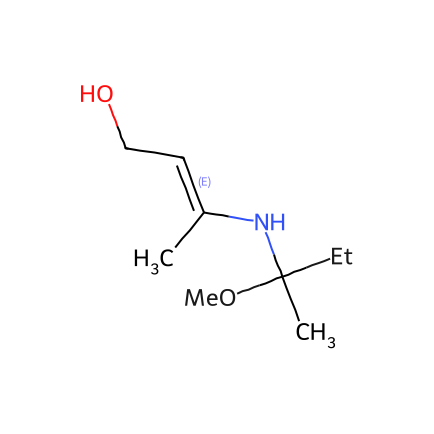 CCC(C)(N/C(C)=C/CO)OC